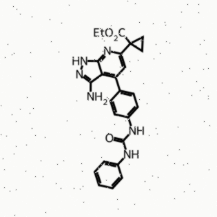 CCOC(=O)C1(c2cc(-c3ccc(NC(=O)Nc4ccccc4)cc3)c3c(N)n[nH]c3n2)CC1